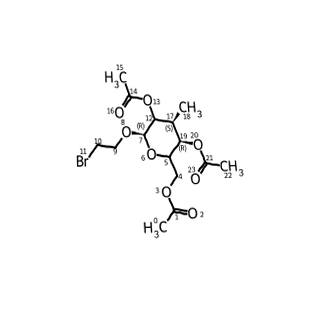 CC(=O)OCC1O[C@@H](OCCBr)C(OC(C)=O)[C@@H](C)[C@H]1OC(C)=O